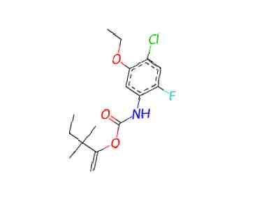 C=C(OC(=O)Nc1cc(OCC)c(Cl)cc1F)C(C)(C)CC